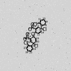 O=[N+]([O-])C1=CC(Cl)(c2ccccc2Cl)C=CC1OC1C=CC(Cl)(c2ccccc2Cl)C=C1[N+](=O)[O-]